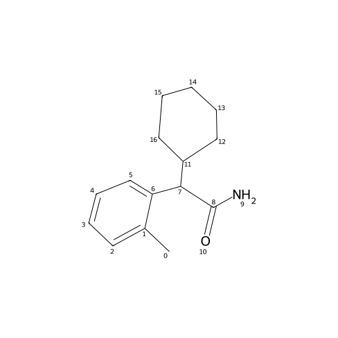 Cc1ccccc1C(C(N)=O)C1CCCCC1